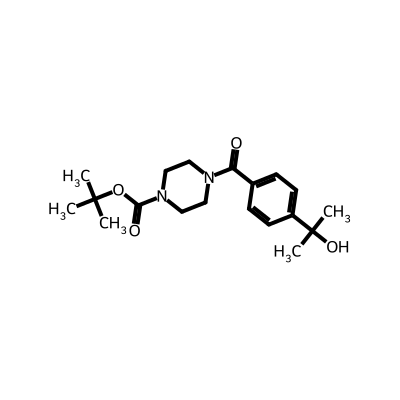 CC(C)(C)OC(=O)N1CCN(C(=O)c2ccc(C(C)(C)O)cc2)CC1